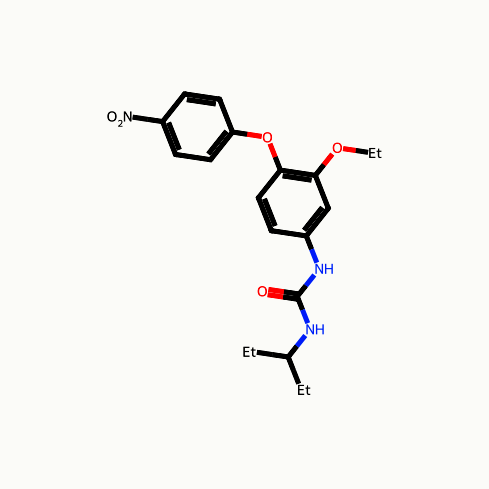 CCOc1cc(NC(=O)NC(CC)CC)ccc1Oc1ccc([N+](=O)[O-])cc1